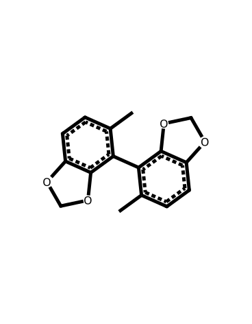 Cc1ccc2c(c1-c1c(C)ccc3c1OCO3)OCO2